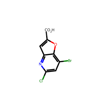 O=C(O)c1cc2nc(Cl)cc(Br)c2o1